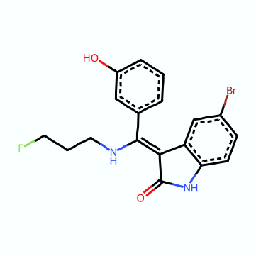 O=C1Nc2ccc(Br)cc2/C1=C(/NCCCF)c1cccc(O)c1